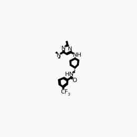 Cc1nc(N[C@H]2CC[C@@H](CNC(=O)c3cccc(C(F)(F)F)c3)CC2)cc(N(C)C)n1